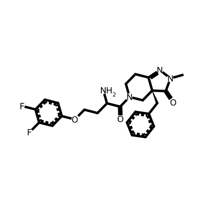 CN1N=C2CCN(C(=O)C(N)CCOc3ccc(F)c(F)c3)C[C@@]2(Cc2ccccc2)C1=O